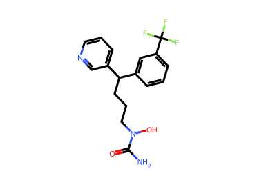 NC(=O)N(O)CCCC(c1cccnc1)c1cccc(C(F)(F)F)c1